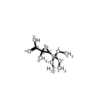 CO[Si](OC)(OC)C1SC1(C)C(=O)O